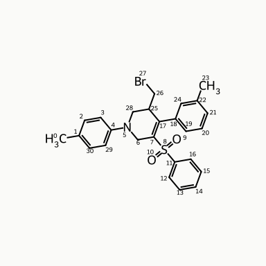 Cc1ccc(N2CC(S(=O)(=O)c3ccccc3)=C(c3cccc(C)c3)C(CBr)C2)cc1